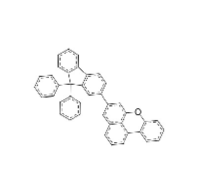 c1ccc(C2(c3ccccc3)c3ccccc3-c3ccc(-c4cc5c6c(cccc6c4)-c4ccccc4O5)cc32)cc1